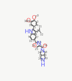 COc1ccc(-c2[nH]c3ccc(-c4nc(C(=O)N5CC6CNCC6C5)co4)cc3c2C(C)C)cc1OC